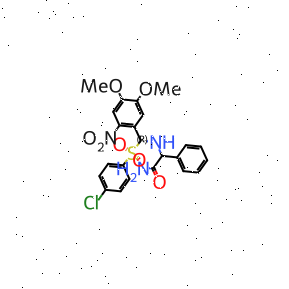 COc1cc([C@H](NC(C(N)=O)c2ccccc2)S(=O)(=O)c2ccc(Cl)cc2)c([N+](=O)[O-])cc1OC